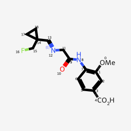 COc1cc(C(=O)O)ccc1NC(=O)C/N=C/C1(CF)CC1